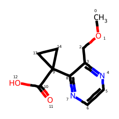 COCc1nccnc1C1(C(=O)O)CC1